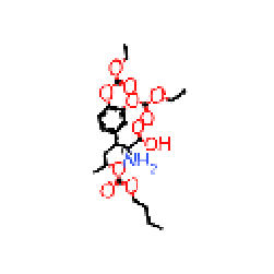 CCCCOC(=O)OC(C)CC(c1ccc(OC(=O)OCC)c(OC(=O)OCC)c1)[C@H](N)C(=O)O